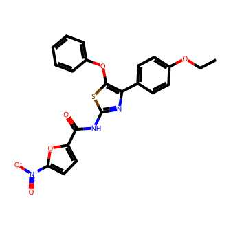 CCOc1ccc(-c2nc(NC(=O)c3ccc([N+](=O)[O-])o3)sc2Oc2ccccc2)cc1